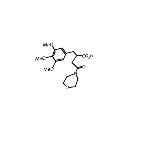 COc1cc(CC(CC(=O)N2CCOCC2)C(=O)O)cc(OC)c1OC